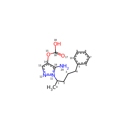 CC(CCCc1ccccc1)n1ncc(OC(=O)O)c1N